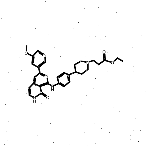 CCOC(=O)CCN1CCC(c2ccc(Nc3nc(-c4cncc(OC)c4)cc4cc[nH]c(=O)c34)cc2)CC1